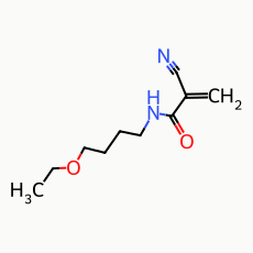 C=C(C#N)C(=O)NCCCCOCC